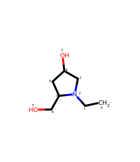 [CH2]CN1CC(O)CC1CO